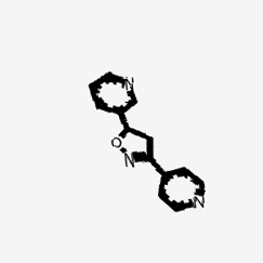 c1cncc(C2CC(c3ccncc3)=NO2)c1